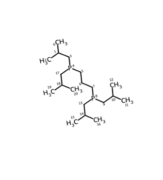 CC(C)CP(CCCP(CC(C)C)CC(C)C)CC(C)C